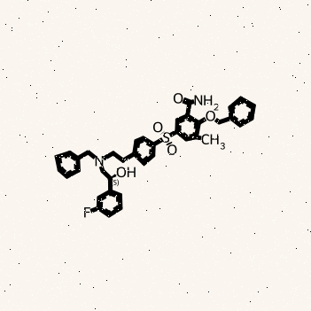 Cc1cc(S(=O)(=O)c2ccc(CCN(Cc3ccccc3)C[C@@H](O)c3cccc(F)c3)cc2)cc(C(N)=O)c1OCc1ccccc1